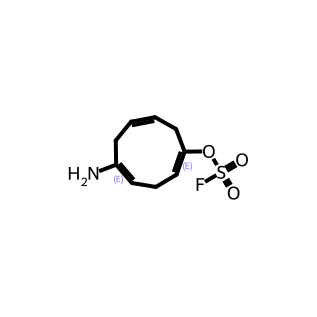 N/C1=C/C/C=C(/OS(=O)(=O)F)CC=CC1